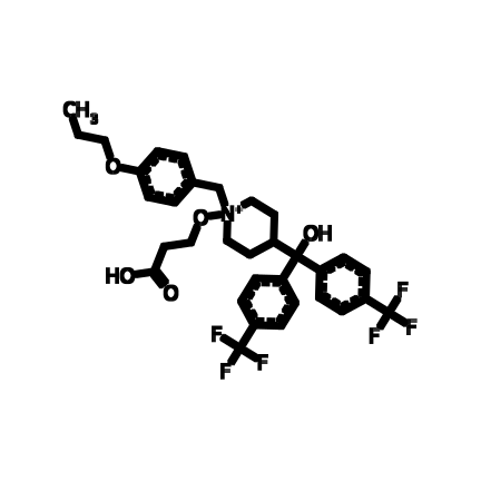 CCCOc1ccc(C[N+]2(OCCC(=O)O)CCC(C(O)(c3ccc(C(F)(F)F)cc3)c3ccc(C(F)(F)F)cc3)CC2)cc1